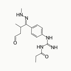 CCC(=O)NC(=N)Nc1ccc(/C(=N/NC)C(C)CC=O)cc1